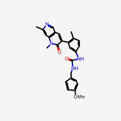 COc1ccc(CNC(=O)Nc2ccc(C)c(-c3cc4cnc(C)cc4n(C)c3=O)c2)cc1